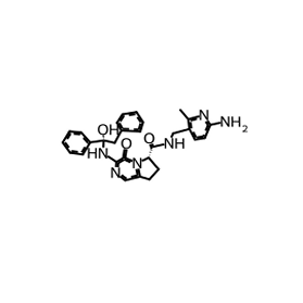 Cc1nc(N)ccc1CNC(=O)[C@@H]1CCc2cnc(N[C@](O)(Cc3ccccc3)c3ccccc3)c(=O)n21